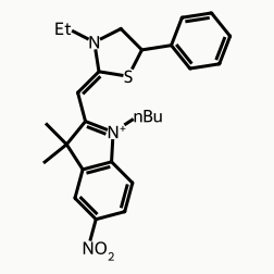 CCCC[N+]1=C(/C=C2\SC(c3ccccc3)CN2CC)C(C)(C)c2cc([N+](=O)[O-])ccc21